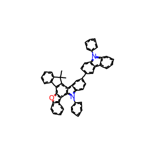 CC1(C)c2ccccc2-c2c1c1c3cc(-c4ccc5c(c4)c4ccccc4n5-c4ccccc4)ccc3n(-c3ccccc3)c1c1c2oc2ccccc21